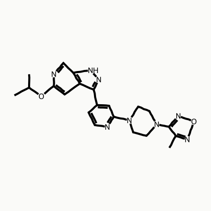 Cc1nonc1N1CCN(c2cc(-c3n[nH]c4cnc(OC(C)C)cc34)ccn2)CC1